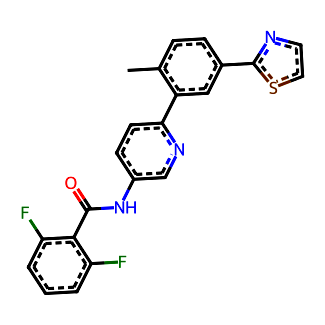 Cc1ccc(-c2nccs2)cc1-c1ccc(NC(=O)c2c(F)cccc2F)cn1